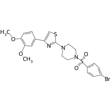 COc1ccc(-c2csc(N3CCN(S(=O)(=O)c4ccc(Br)cc4)CC3)n2)cc1OC